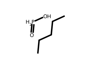 CCCCC.O=[PH2]O